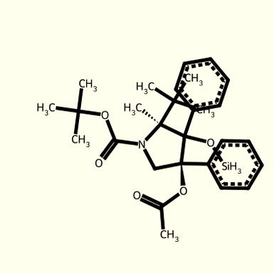 CC(=O)O[C@@]1(c2ccccc2)CN(C(=O)OC(C)(C)C)[C@@](C)(C(C)(C)C)C1(O[SiH3])c1ccccc1